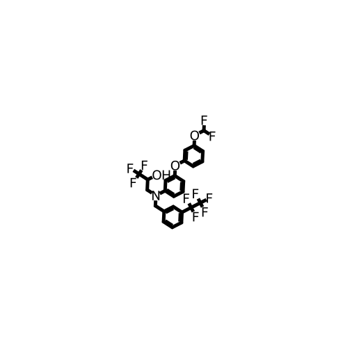 OC(CN(Cc1cccc(C(F)(F)C(F)(F)F)c1)c1cccc(Oc2cccc(OC(F)F)c2)c1)C(F)(F)F